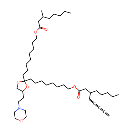 C=C=C=C=CC(CCCCC)CC(=O)OCCCCCCCCC1(CCCCCCCCOC(=O)CC(C)CCCCC)OCC(CCN2CCOCC2)O1